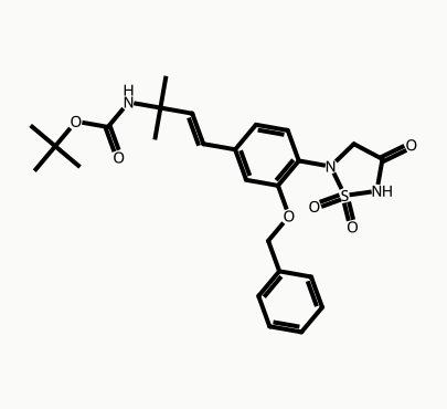 CC(C)(/C=C/c1ccc(N2CC(=O)NS2(=O)=O)c(OCc2ccccc2)c1)NC(=O)OC(C)(C)C